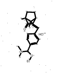 CCOC(c1ccc(C=C2C(=O)C3(C)CCC2C3(C)C)cc1)N(C)C.Cl